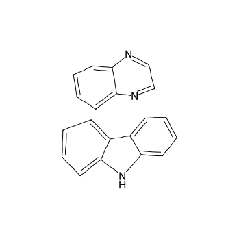 c1ccc2c(c1)[nH]c1ccccc12.c1ccc2nccnc2c1